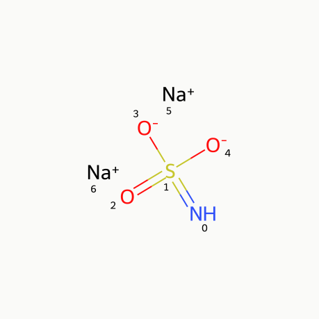 N=S(=O)([O-])[O-].[Na+].[Na+]